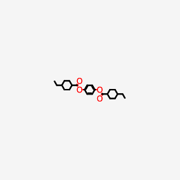 CCC1CCC(C(=O)Oc2ccc(OC(=O)C3CCC(CC)CC3)cc2)CC1